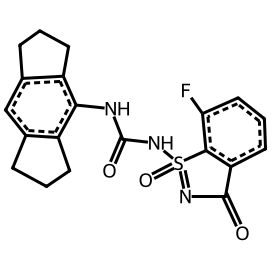 O=C(Nc1c2c(cc3c1CCC3)CCC2)NS1(=O)=NC(=O)c2cccc(F)c21